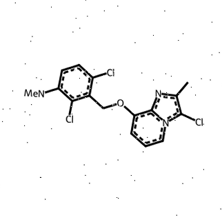 CNc1ccc(Cl)c(COc2cccn3c(Cl)c(C)nc23)c1Cl